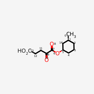 C[C@H]1CCC[C@@H](OC(=O)C(=O)CCC(=O)O)C1